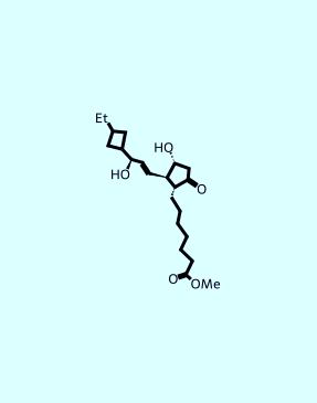 CCC1CC([C@H](O)/C=C/[C@H]2[C@H](O)CC(=O)[C@@H]2CCCCCCC(=O)OC)C1